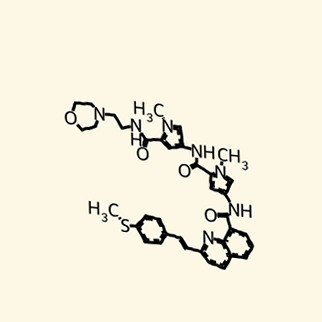 CSc1ccc(C=Cc2ccc3cccc(C(=O)Nc4cc(C(=O)Nc5cc(C(=O)NCCN6CCOCC6)n(C)c5)n(C)c4)c3n2)cc1